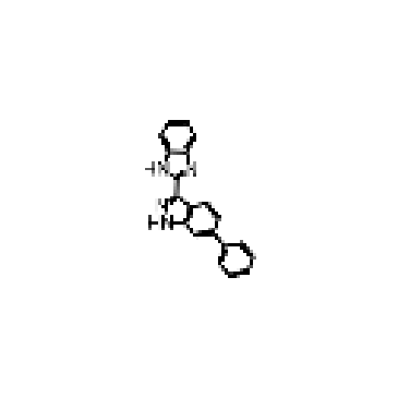 c1ccc(-c2ccc3c(-c4nc5ccccc5[nH]4)n[nH]c3c2)cc1